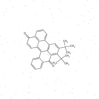 CC(C)(C)c1cc2c3cccc4c(=O)ccc(c43)c3c4ccccc4c(=O)c(c1C(C)(C)C)c23